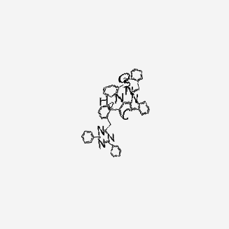 Nc1c(-c2ccccc2Cc2nc(-c3ccccc3)nc(-c3ccccc3)n2)ccc2c3ccccc3n(C3=Cc4ccccc4S(=O)(c4ccccc4)=N3)c12